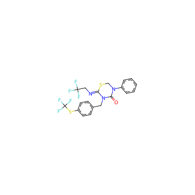 O=C1N(Cc2ccc(SC(F)(F)F)cc2)C(=NCC(F)(F)F)SCN1c1ccccc1